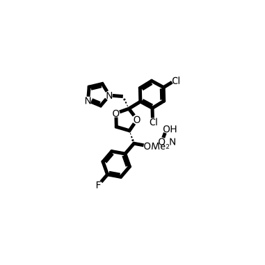 COC(c1ccc(F)cc1)[C@@H]1CO[C@@](Cn2ccnc2)(c2ccc(Cl)cc2Cl)O1.O=[N+]([O-])O